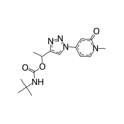 CC(OC(=O)NC(C)(C)C)c1cn(-c2ccn(C)c(=O)c2)nn1